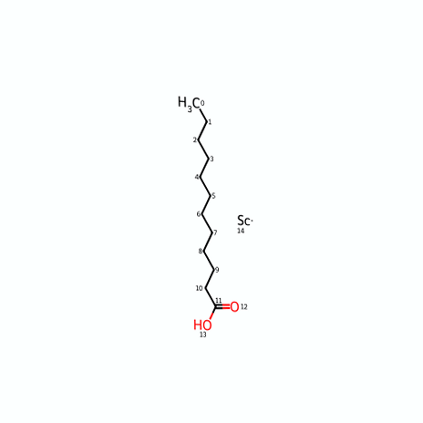 CCCCCCCCCCCC(=O)O.[Sc]